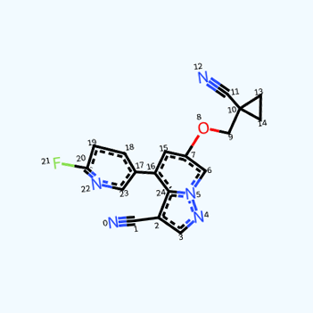 N#Cc1cnn2cc(OCC3(C#N)CC3)cc(-c3ccc(F)nc3)c12